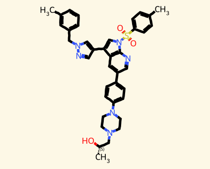 Cc1ccc(S(=O)(=O)n2cc(-c3cnn(Cc4cccc(C)c4)c3)c3cc(-c4ccc(N5CCN(C[C@H](C)O)CC5)cc4)cnc32)cc1